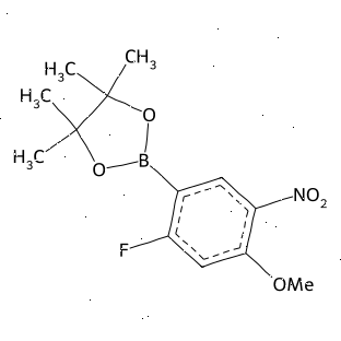 COc1cc(F)c(B2OC(C)(C)C(C)(C)O2)cc1[N+](=O)[O-]